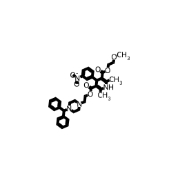 COCCOC(=O)C1=C(C)NC(C)=C(C(=O)OCCN2CCN(C(c3ccccc3)c3ccccc3)CC2)C1c1cccc([N+](=O)[O-])c1